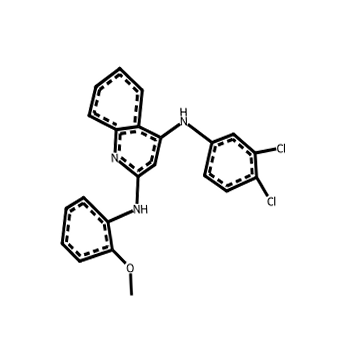 COc1ccccc1Nc1cc(Nc2ccc(Cl)c(Cl)c2)c2ccccc2n1